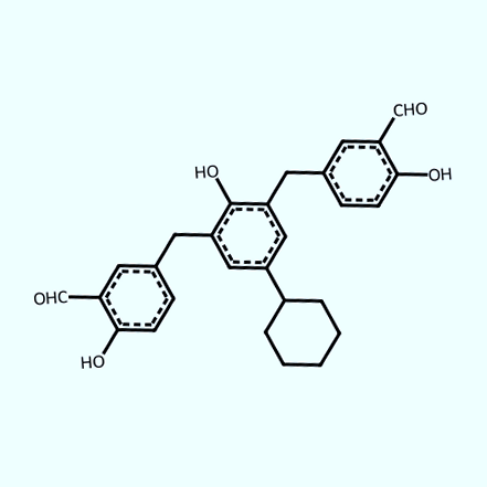 O=Cc1cc(Cc2cc(C3CCCCC3)cc(Cc3ccc(O)c(C=O)c3)c2O)ccc1O